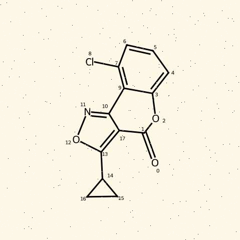 O=c1oc2cccc(Cl)c2c2noc(C3CC3)c12